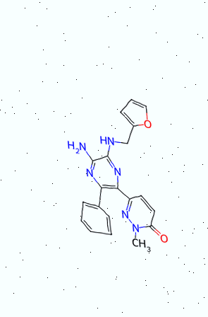 Cn1nc(-c2nc(NCc3ccco3)c(N)nc2-c2ccccc2)ccc1=O